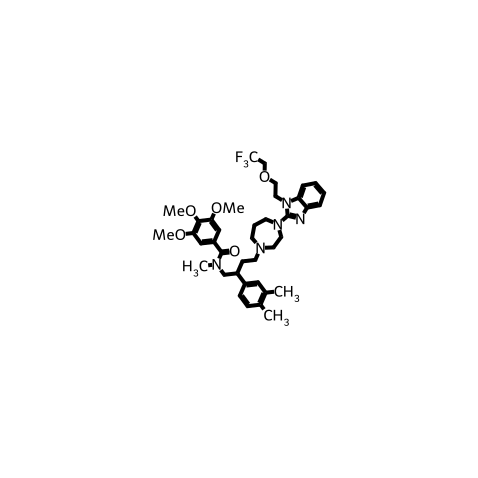 COc1cc(C(=O)N(C)CC(CCN2CCCN(c3nc4ccccc4n3CCOCC(F)(F)F)CC2)c2ccc(C)c(C)c2)cc(OC)c1OC